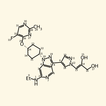 CCNc1cc2c(cn1)c(-c1cnn(/C=C(\O)CO)c1)nn2[C@H]1CC[C@@H](Oc2nc(C)ncc2F)CC1